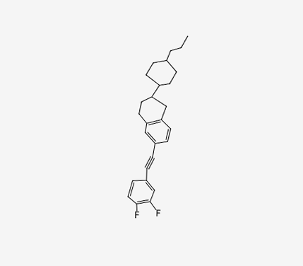 CCCC1CCC(C2CCc3cc(C#Cc4ccc(F)c(F)c4)ccc3C2)CC1